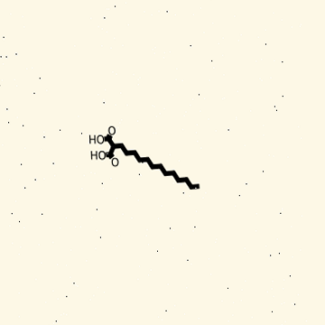 CCCCCCCCCCCCCC(C(=O)O)C(=O)O